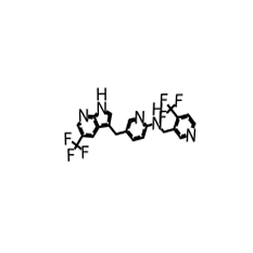 FC(F)(F)c1cnc2[nH]cc(Cc3ccc(NCc4cnccc4C(F)(F)F)nc3)c2c1